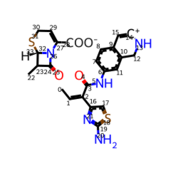 C/C=C(\C(=O)Nc1ccc2c(c1)CN[C+]=C2)c1csc(N)n1.CC1C(=O)N2C(C(=O)[O-])=CCS[C@@H]12